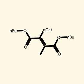 CCCCCCCCC(C(=O)OCCCC)=C(C)C(=O)OCCCC